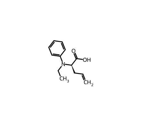 C=CC[C@H](C(=O)O)N(CC)c1ccccc1